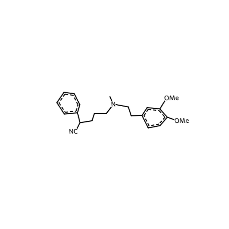 COc1ccc(CCN(C)CCCC(C#N)c2ccccc2)cc1OC